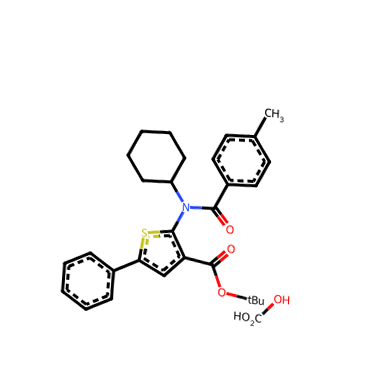 Cc1ccc(C(=O)N(c2sc(-c3ccccc3)cc2C(=O)OC(C)(C)C)C2CCCCC2)cc1.O=C(O)O